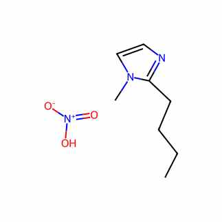 CCCCc1nccn1C.O=[N+]([O-])O